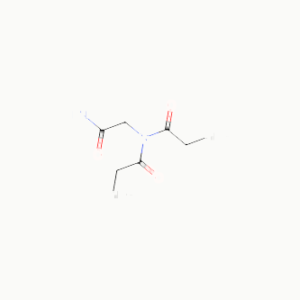 CCCCCCCCCCCC(=O)N(CC(N)=O)C(=O)CCCCCCCCCCC